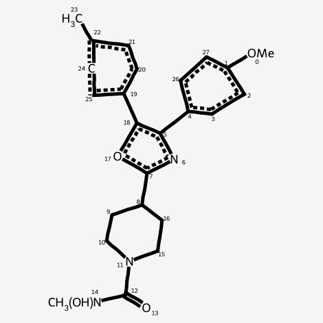 COc1ccc(-c2nc(C3CCN(C(=O)N(C)O)CC3)oc2-c2ccc(C)cc2)cc1